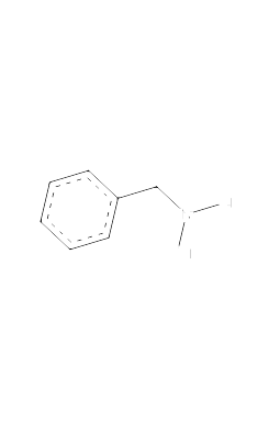 SN(S)Cc1ccccc1